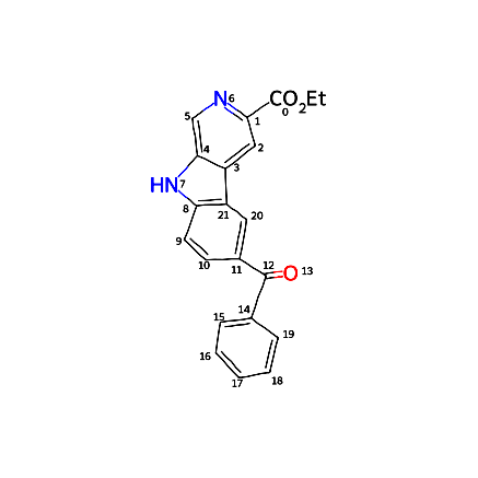 CCOC(=O)c1cc2c(cn1)[nH]c1ccc(C(=O)c3ccccc3)cc12